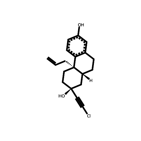 C=CC[C@@]12CC[C@@](O)(C#CCl)C[C@H]1CCc1cc(O)ccc12